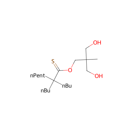 CCCCCC(CCCC)(CCCC)C(=S)OCC(C)(CO)CO